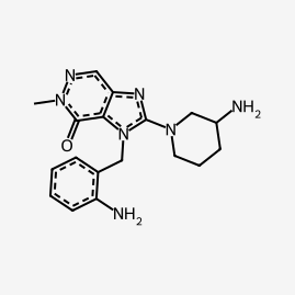 Cn1ncc2nc(N3CCCC(N)C3)n(Cc3ccccc3N)c2c1=O